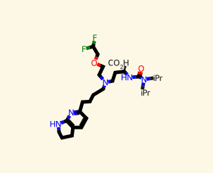 CC(C)N(C(=O)N[C@@H](CCN(CCCCc1ccc2c(n1)NCCC2)CCOCC(F)F)C(=O)O)C(C)C